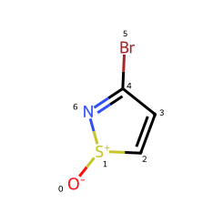 [O-][s+]1ccc(Br)n1